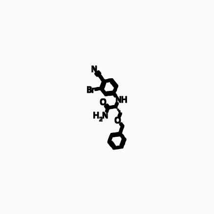 N#Cc1ccc(N[C@H](COCc2ccccc2)C(N)=O)cc1Br